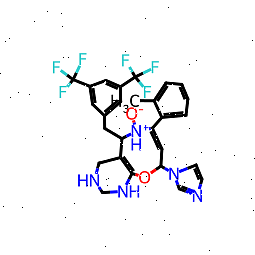 Cc1ccccc1/C1=C/C(n2ccnc2)OC2=C(CNCN2)C(Cc2cc(C(F)(F)F)cc(C(F)(F)F)c2)[NH+]1[O-]